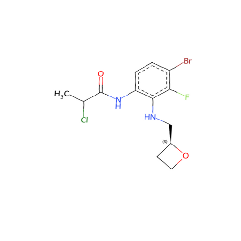 CC(Cl)C(=O)Nc1ccc(Br)c(F)c1NC[C@@H]1CCO1